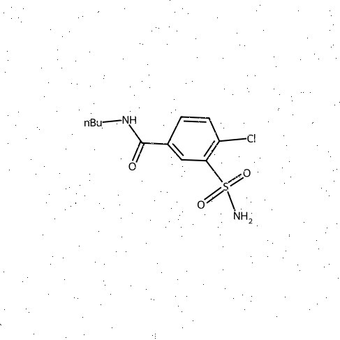 CCCCNC(=O)c1ccc(Cl)c(S(N)(=O)=O)c1